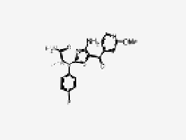 COc1cc(C(=O)c2sc(N(c3ccc(F)cc3)[C@H](C)C(N)=O)nc2N)ccn1